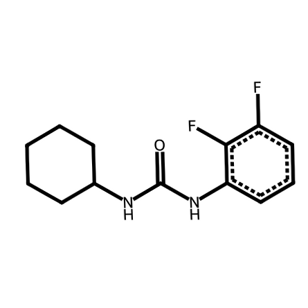 O=C(Nc1cccc(F)c1F)NC1CCCCC1